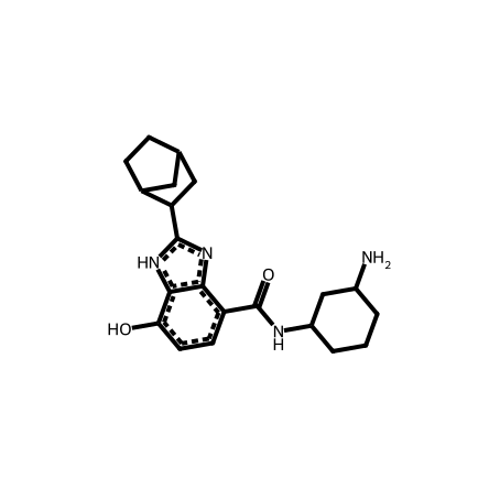 NC1CCCC(NC(=O)c2ccc(O)c3[nH]c(C4CC5CCC4C5)nc23)C1